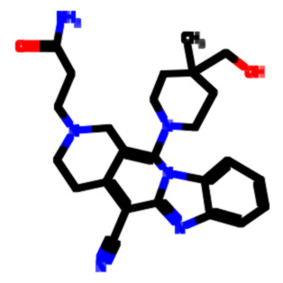 CC1(CO)CCN(c2c3c(c(C#N)c4nc5ccccc5n24)CCN(CCC(N)=O)C3)CC1